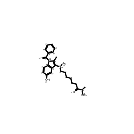 CCCCN(C)C(=O)CCCCCCN(C(C)=O)c1c(C)n(C(=O)c2ccccc2)c2ccc(O)cc12